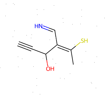 C#CC(O)/C(C=N)=C(\C)S